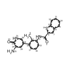 Cc1c(NC(=O)c2cc3ccccc3s2)cccc1-c1c[nH]c(=O)c(N)c1